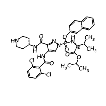 CC(C)OC(=O)[C@@H](NP(=O)(Oc1ccc2ccccc2c1)n1cc(NC(=O)c2c(Cl)cccc2Cl)c(C(=O)NC2CCNCC2)n1)C(C)C